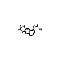 CC(O)Oc1ccc2c(OC(C)O)cccc2c1